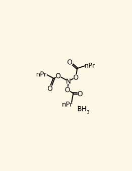 B.CCCC(=O)ON(OC(=O)CCC)OC(=O)CCC